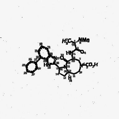 CN[C@@H](C)C(=O)N[C@H]1CN(C(=O)O)CC[C@H]2CC[C@@H](c3nc4cccc(-c5ccccc5)c4[nH]3)N2C1=O